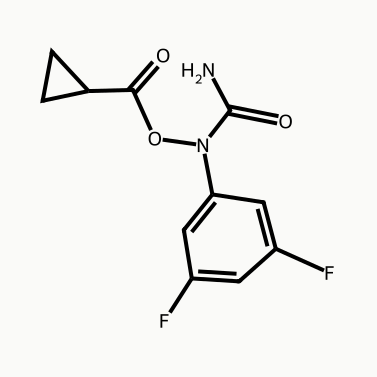 NC(=O)N(OC(=O)C1CC1)c1cc(F)cc(F)c1